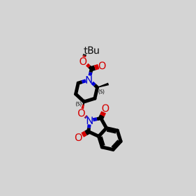 C[C@H]1C[C@@H](ON2C(=O)c3ccccc3C2=O)CCN1C(=O)OC(C)(C)C